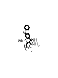 C=C/C=C(NC)\C(C(=N)c1ccc(Oc2ccccc2)cc1)=C(/C)N